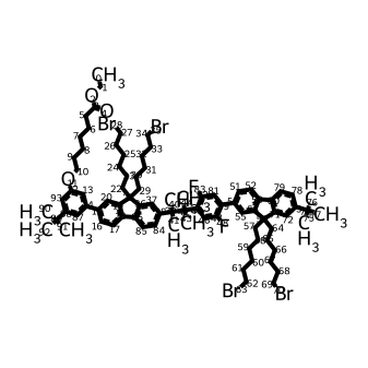 CCOC(=O)CCCCCCOc1cc(-c2ccc3c(c2)C(CCCCCCBr)(CCCCCCBr)c2cc(C(C)(C)C(C)(C)c4cc(F)c(-c5ccc6c(c5)C(CCCCCCBr)(CCCCCCBr)c5cc(C(C)(C)C)ccc5-6)cc4F)ccc2-3)cc(C(C)(C)C)c1